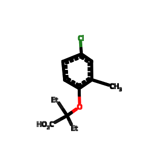 CCC(CC)(Oc1ccc(Cl)cc1C)C(=O)O